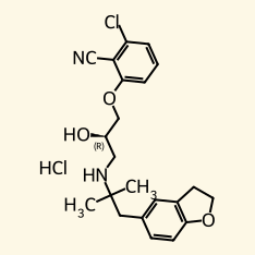 CC(C)(Cc1ccc2c(c1)CCO2)NC[C@@H](O)COc1cccc(Cl)c1C#N.Cl